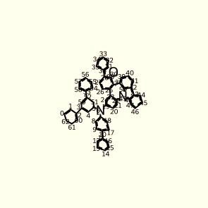 C1=CC(C2=CC(N(c3ccc(-c4ccccc4)cc3)c3ccc4c(c3)-c3ccc5c(oc6ccccc65)c3-c3cccc5c6ccccc6n-4c35)CC(c3ccccc3)=C2)=CCC1